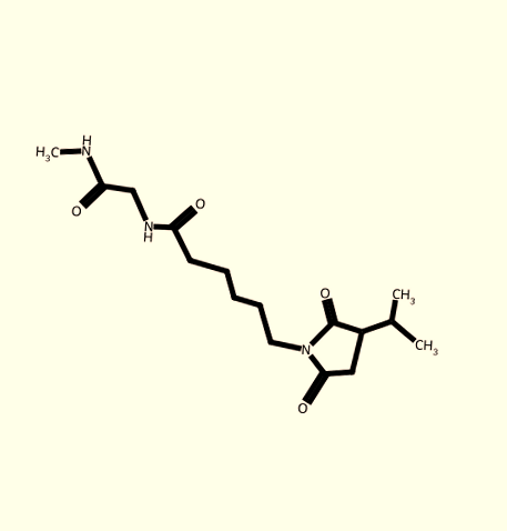 CNC(=O)CNC(=O)CCCCCN1C(=O)CC(C(C)C)C1=O